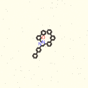 c1ccc(-c2ccc(-c3cc(-c4cccc(-c5cccc(-c6ccccc6)c5)c4)nc(-c4cccc5c4oc4ccccc45)n3)cc2)cc1